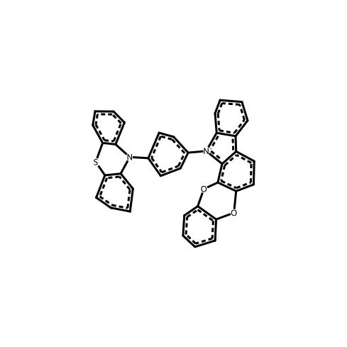 c1ccc2c(c1)Oc1ccc3c4ccccc4n(-c4ccc(N5c6ccccc6Sc6ccccc65)cc4)c3c1O2